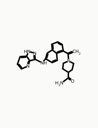 C=C(c1cccc2cc(Nc3n[nH]c4cccnc34)ccc12)N1CCC(C(N)=O)CC1